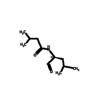 CC(C)CC(=O)N[C@H]([C]=O)CC(C)C